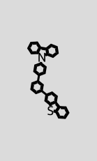 c1cc(-c2ccc(-n3c4ccccc4c4ccccc43)cc2)cc(-c2ccc3c(c2)sc2ccccc23)c1